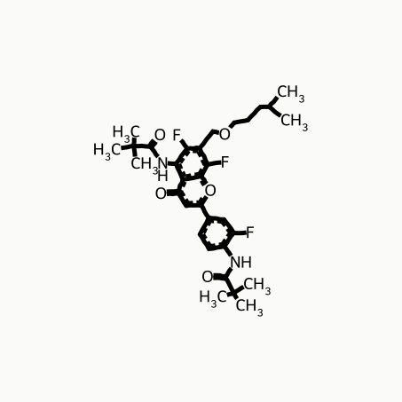 CC(C)CCCOCc1c(F)c(NC(=O)C(C)(C)C)c2c(=O)cc(-c3ccc(NC(=O)C(C)(C)C)c(F)c3)oc2c1F